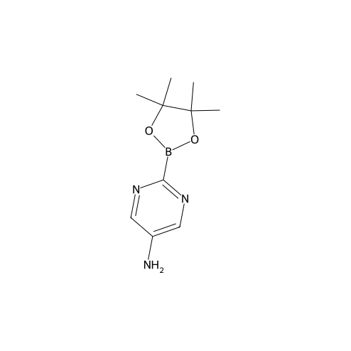 CC1(C)OB(c2ncc(N)cn2)OC1(C)C